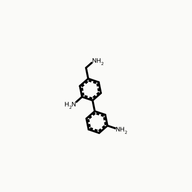 NCc1ccc(-c2cccc(N)c2)c(N)c1